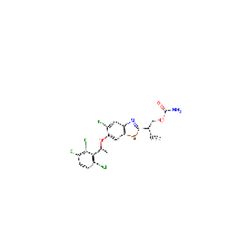 COC(COC(N)=O)c1nc2cc(F)c(OC(C)c3c(Cl)ccc(F)c3Cl)cc2s1